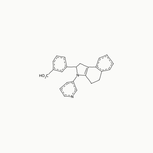 O=C(O)c1cccc(C2CC3=C(CCc4ccccc43)N2c2cccnc2)c1